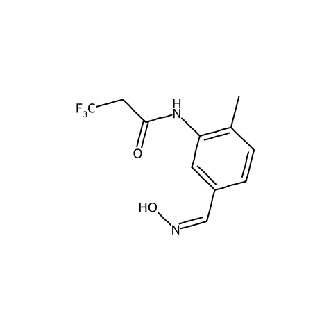 Cc1ccc(/C=N\O)cc1NC(=O)CC(F)(F)F